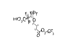 CCCC(OCCCC(=O)OCC(F)(F)F)C(F)(F)C(=O)O